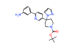 CC(C)(C)OC(=O)N1CCC(c2ccc(-c3cccc(N)c3)nc2)(n2cccn2)CC1